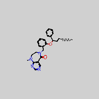 CNCCC(Oc1ccccc1CN1CCN(C)c2ncncc2C1=O)c1ccccc1